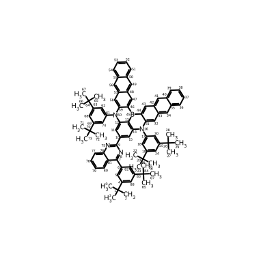 CC(C)(C)c1cc(-c2nc(-c3cc4c5c(c3)N(c3cc(C(C)(C)C)cc(C(C)(C)C)c3)c3cc6cc7ccccc7cc6cc3B5c3cc5cc6ccccc6cc5cc3N4c3cc(C(C)(C)C)cc(C(C)(C)C)c3)nc3ccccc23)cc(C(C)(C)C)c1